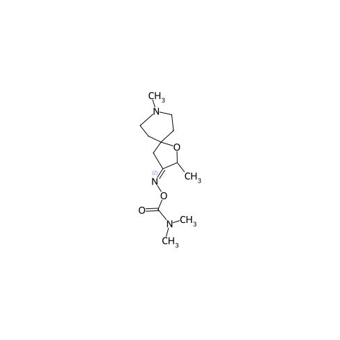 CC1OC2(CCN(C)CC2)C/C1=N/OC(=O)N(C)C